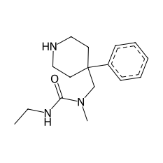 CCNC(=O)N(C)CC1(c2ccccc2)CCNCC1